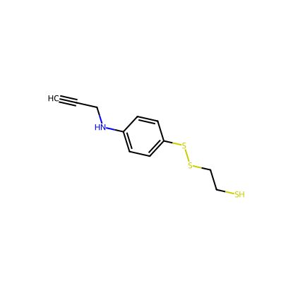 C#CCNc1ccc(SSCCS)cc1